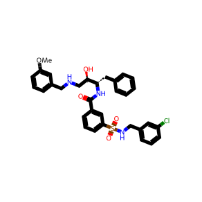 COc1cccc(CNC[C@@H](O)[C@H](Cc2ccccc2)NC(=O)c2cccc(S(=O)(=O)NCc3cccc(Cl)c3)c2)c1